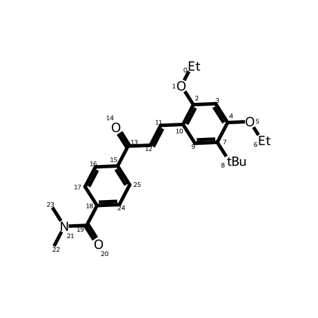 CCOc1cc(OCC)c(C(C)(C)C)cc1C=CC(=O)c1ccc(C(=O)N(C)C)cc1